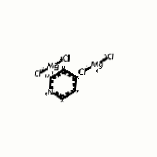 [Cl][Mg][Cl].[Cl][Mg][Cl].c1ccncc1